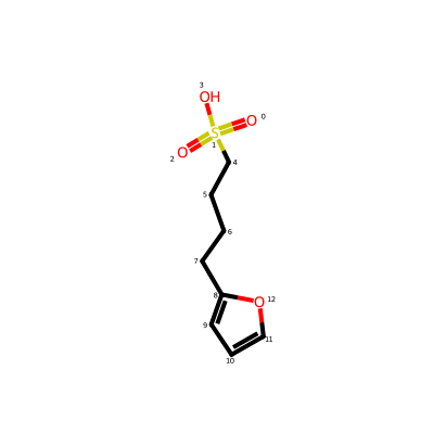 O=S(=O)(O)CCCCc1ccco1